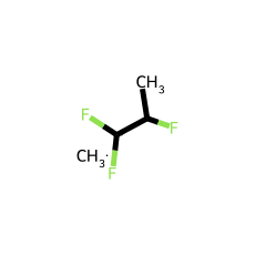 CC(F)[C](F)F.[CH3]